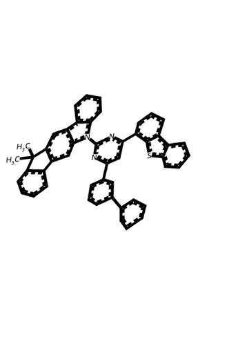 CC1(C)c2ccccc2-c2cc3c(cc21)c1ccccc1n3-c1nc(-c2cccc(-c3ccccc3)c2)cc(-c2cccc3c2sc2ccccc23)n1